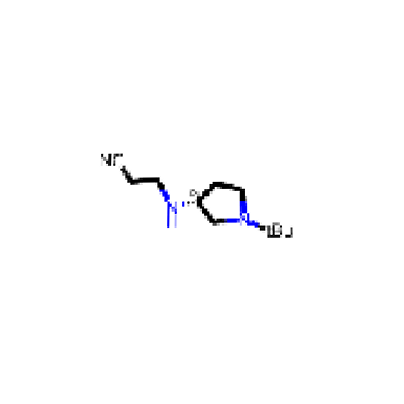 CC(C)(C)N1CC[C@@H](NCCC#N)C1